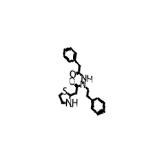 O=C(Cc1ccccc1)NN(CCc1ccccc1)C(=O)CC1NCCS1